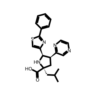 CC(C)C[C@@]1(C(=O)O)C[C@H](c2cnccn2)[C@H](c2csc(-c3ccccc3)n2)N1